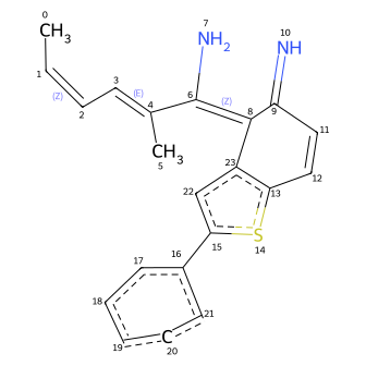 C\C=C/C=C(C)/C(N)=C1/C(=N)C=Cc2sc(-c3ccccc3)cc21